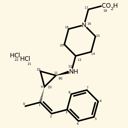 CC(=Cc1ccccc1)[C@@H]1C[C@H]1NC1CCN(CC(=O)O)CC1.Cl.Cl